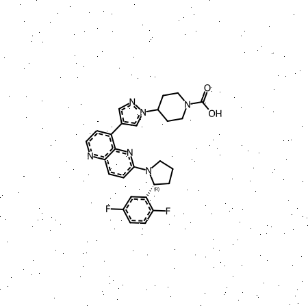 O=C(O)N1CCC(n2cc(-c3ccnc4ccc(N5CCC[C@@H]5c5cc(F)ccc5F)nc34)cn2)CC1